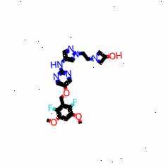 COc1cc(OC)c(F)c(COc2cnc(Nc3cnn(CCN4CC(O)C4)c3)nc2)c1F